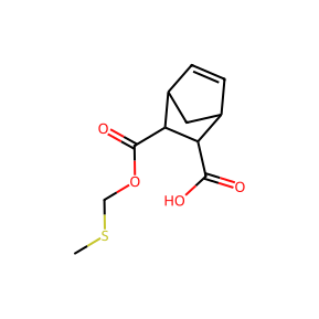 CSCOC(=O)C1C2C=CC(C2)C1C(=O)O